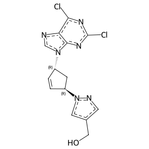 OCc1cnn([C@H]2C=C[C@H](n3cnc4c(Cl)nc(Cl)nc43)C2)c1